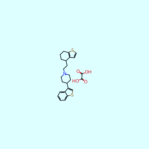 O=C(O)C(=O)O.c1ccc2c(C3CCN(CCC4CCCc5sccc54)CC3)csc2c1